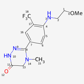 COCCNc1ccc(C2=NNC(=O)CN2C)cc1C(F)(F)F